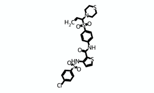 C=CC(N1CCSCC1)S(=O)(=O)c1ccc(NC(=O)c2sccc2NS(=O)(=O)c2ccc(Cl)cc2)cc1